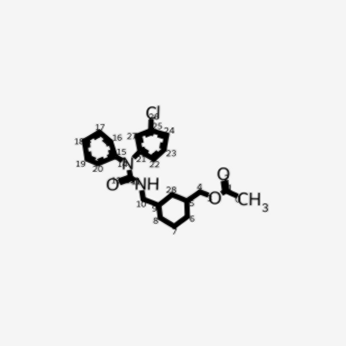 CC(=O)OCC1CCCC(CNC(=O)N(c2ccccc2)c2cccc(Cl)c2)C1